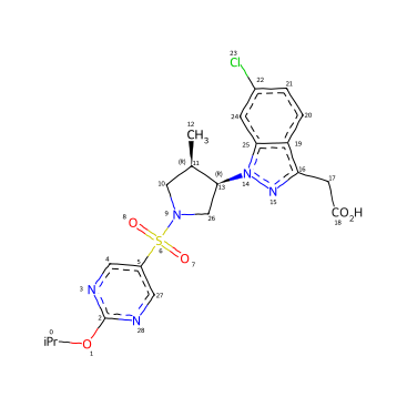 CC(C)Oc1ncc(S(=O)(=O)N2C[C@@H](C)[C@@H](n3nc(CC(=O)O)c4ccc(Cl)cc43)C2)cn1